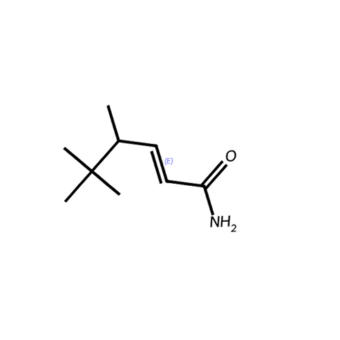 CC(/C=C/C(N)=O)C(C)(C)C